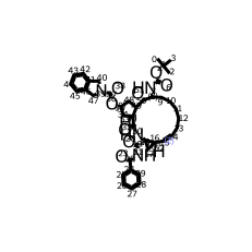 CC(C)(C)OC(=O)N[C@H]1CCCCC/C=C\[C@@H]2C[C@@]2(C(=O)NC(=O)c2ccccc2)NC(=O)[C@@H]2C[C@@H](OC(=O)N3Cc4ccccc4C3)CC2C1=O